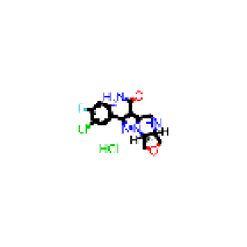 Cl.NC(=O)c1c(-c2ccc(F)c(Cl)c2)nn2c1CN[C@@H]1COC[C@@H]12